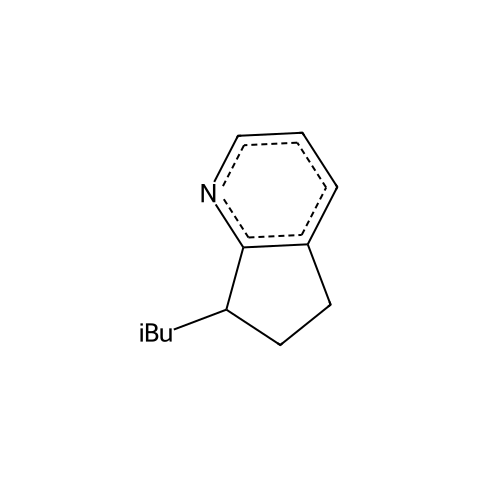 CCC(C)C1CCc2cccnc21